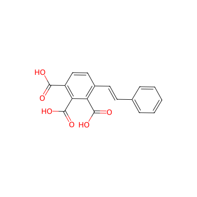 O=C(O)c1ccc(C=Cc2ccccc2)c(C(=O)O)c1C(=O)O